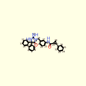 N=C1NC(c2ccccc2)(c2ccccc2)C(=O)N1Cc1cccc(NC(=O)C2C[C@H]2c2ccccc2)c1